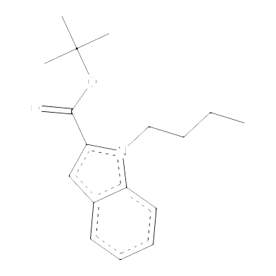 CCCCn1c(C(=O)OC(C)(C)C)cc2ccccc21